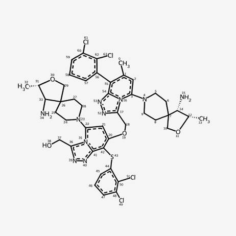 Cc1cc(N2CCC3(CC2)CO[C@@H](C)[C@H]3N)n2c(COc3cc(N4CCC5(CC4)CO[C@@H](C)C5N)n4c(CO)nnc4c3Sc3cccc(Cl)c3Cl)nnc2c1-c1cccc(Cl)c1Cl